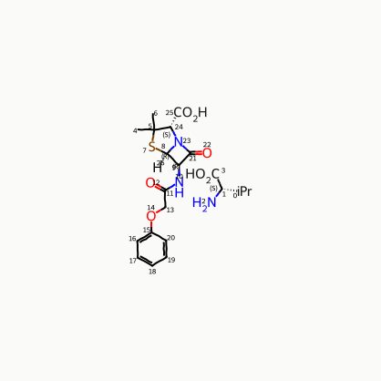 CC(C)[C@H](N)C(=O)O.CC1(C)S[C@@H]2[C@H](NC(=O)COc3ccccc3)C(=O)N2[C@H]1C(=O)O